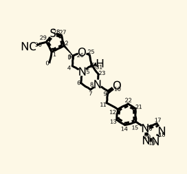 Cc1c([C@@H]2CN3CCN(C(=O)Cc4ccc(-n5cnnn5)cc4)C[C@H]3CO2)csc1C#N